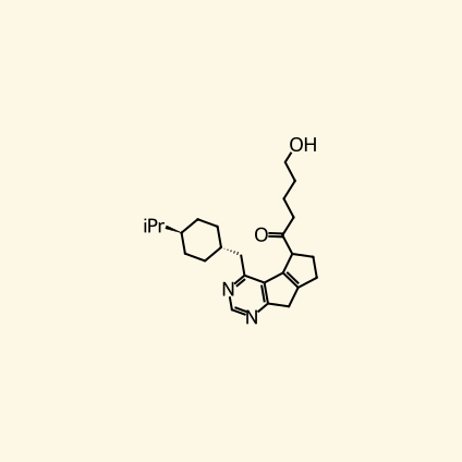 CC(C)[C@H]1CC[C@H](Cc2ncnc3c2C2=C(CCC2C(=O)CCCCO)C3)CC1